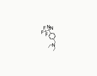 CCN(CC)Cc1ccc(C2(C(F)(F)F)N=N2)cc1